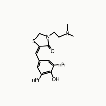 CCCc1cc(C=C2SCN(CCN(C)C)C2=O)cc(CCC)c1O